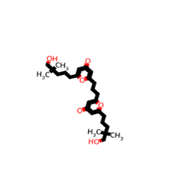 CC(C)(CO)CCCc1cc(=O)cc(CCCc2cc(=O)cc(CCCC(C)(C)CO)o2)o1